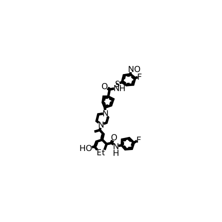 CC/C(O)=C\C(=C/C(C)N1CCN(c2ccc(C(=O)NSc3ccc(F)c(N=O)c3)cc2)CC1)C(C)C(=O)Nc1ccc(F)cc1